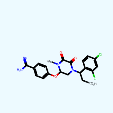 CCCN1C(=O)C(=O)N(C(CC(=O)O)c2ccc(Cl)cc2Cl)CC1Oc1ccc(C(=N)N)cc1